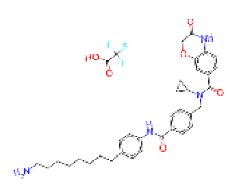 NCCCCCCCCc1ccc(NC(=O)c2ccc(CN(C(=O)c3ccc4c(c3)OCC(=O)N4)C3CC3)cc2)cc1.O=C(O)C(F)(F)F